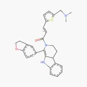 CN(C)Cc1ccc(/C=C/C(=O)N2CCC3C(=C2c2ccc4c(c2)CCO4)Nc2ccccc23)s1